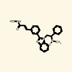 CN(C)C(Cn1c(-c2cccc(/C=C/C(=O)NO)c2)nc2ccccc21)c1ccccc1